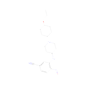 CCO[C@H]1CC[C@H](N2CCC(Nc3cc(C#N)ccc3N=O)CC2)CC1